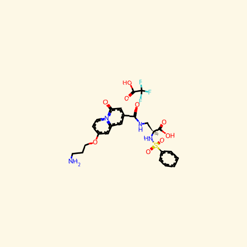 NCCCOc1ccn2c(=O)cc(C(=O)NC[C@H](NS(=O)(=O)c3ccccc3)C(=O)O)cc2c1.O=C(O)C(F)(F)F